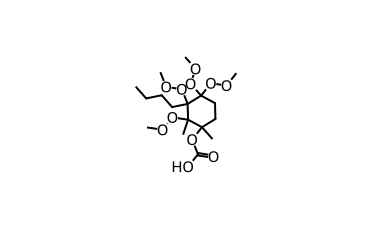 CCCCC1(OOC)C(OOC)(OOC)CCC(C)(OC(=O)O)C1(C)OOC